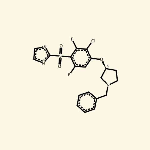 O=S(=O)(c1n[c]cs1)c1c(F)cc(O[C@H]2CCN(Cc3ccccc3)C2)c(Cl)c1F